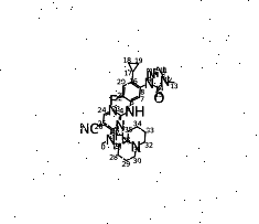 CN(c1nc(Nc2cc(-n3nnn(C)c3=O)c(C3CC3)cc2F)ncc1C#N)[C@H]1CCCN2CCCC[C@H]12